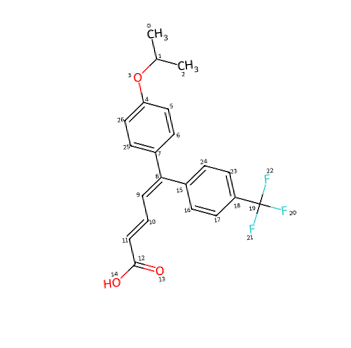 CC(C)Oc1ccc(C(=CC=CC(=O)O)c2ccc(C(F)(F)F)cc2)cc1